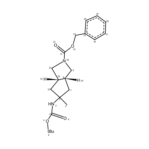 CC1(NC(=O)OC(C)(C)C)C[C@H]2CN(C(=O)OCc3ccccc3)C[C@H]2C1